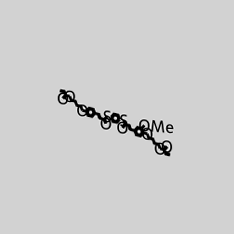 C=CC(=O)OCCCCOc1ccc(/C=C/C(=O)Sc2ccc(SC(=O)/C=C/c3ccc(OCCCCOC(=O)C=C)c(OC)c3)cc2)cc1